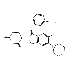 O=C1CC[C@H](N2Cc3cc(N4CCNCC4)c(F)cc3C2=O)C(=O)N1.O=S(=O)(O)c1ccccc1